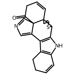 O=C1CC=CC23C=CSC2c2[nH]c4c(c2C2=CN=CC123)CCC=C4